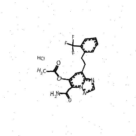 CC(=O)Oc1cc(CCc2ccccc2C(F)(F)F)c2ncnn2c1C(N)=O.Cl